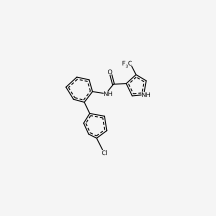 O=C(Nc1ccccc1-c1ccc(Cl)cc1)c1c[nH]cc1C(F)(F)F